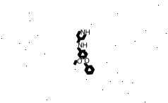 CCOc1cc(CNCC2CCNCC2)ccc1OCc1ccccc1